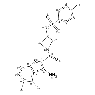 Cc1ccc(S(=O)(=O)NC2CN(C(=O)c3sc4nnc(C)c(C)c4c3N)C2)cc1